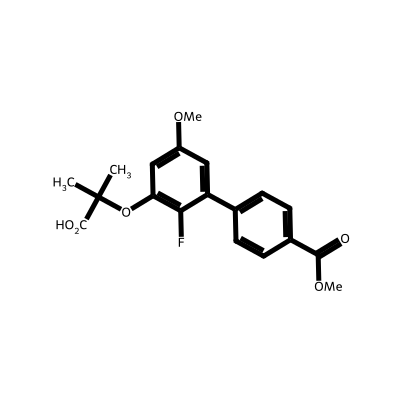 COC(=O)c1ccc(-c2cc(OC)cc(OC(C)(C)C(=O)O)c2F)cc1